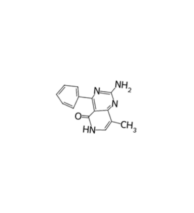 Cc1c[nH]c(=O)c2c(-c3ccccc3)nc(N)nc12